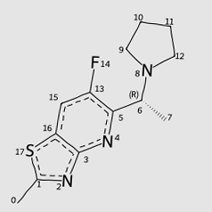 Cc1nc2nc([C@@H](C)N3CCCC3)c(F)cc2s1